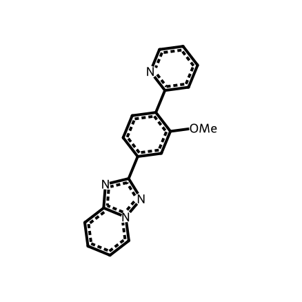 COc1cc(-c2nc3ccccn3n2)ccc1-c1ccccn1